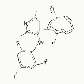 Cc1nn(C)c(Nc2c(F)cc(F)cc2Br)c1-c1c(F)cccc1Cl